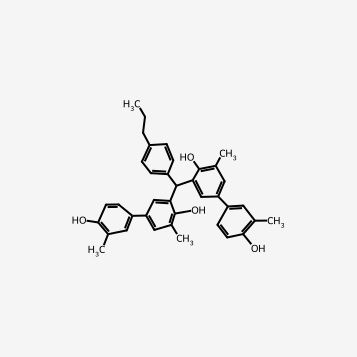 CCCc1ccc(C(c2cc(-c3ccc(O)c(C)c3)cc(C)c2O)c2cc(-c3ccc(O)c(C)c3)cc(C)c2O)cc1